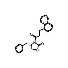 O=C(CCc1cccc2ccccc12)N1C(=O)OC[C@@H]1Cc1ccccc1